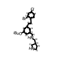 CC(C)COc1cc(/C=C/c2ccc(Cl)cc2Br)cc(CNCC2CCNC2)c1